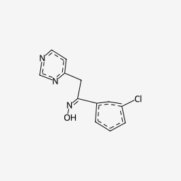 ON=C(Cc1ccncn1)c1cccc(Cl)c1